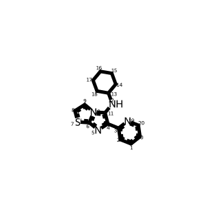 c1ccc(-c2nc3sccn3c2NC2CCCCC2)nc1